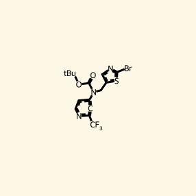 CC(C)(C)OC(=O)N(Cc1cnc(Br)s1)c1ccnc(C(F)(F)F)c1